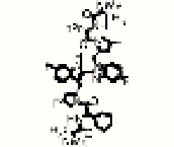 CCC[C@H](NC(=O)[C@H](C)NC)C(=O)N1C[C@@H](F)C[C@H]1Cn1c(-c2[nH]c3cc(F)ccc3c2C[C@@H]2C[C@H](F)CN2C(=O)C(NC(=O)[C@H](C)NC)C2CCCCC2)nc2cc(F)ccc21